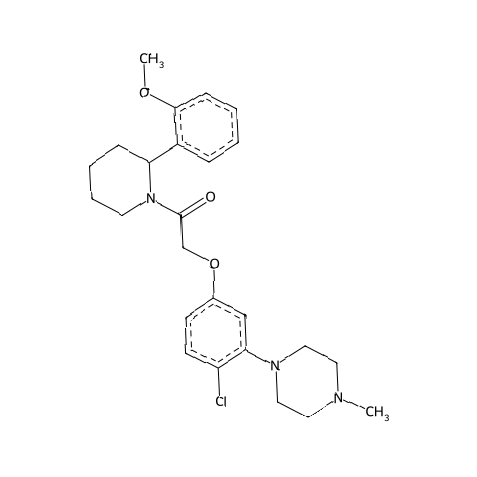 COc1ccccc1C1CCCCN1C(=O)COc1ccc(Cl)c(N2CCN(C)CC2)c1